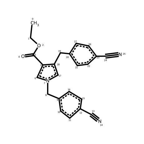 CCOC(=O)c1cn(Cc2ccc(C#N)cc2)cc1Cc1ccc(C#N)cc1